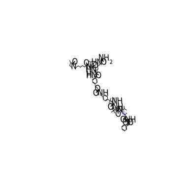 CN[C@H](C(=O)N[C@H](C(=O)N(C)[C@H](/C=C(\C)C(=O)NS(=O)(=O)Cc1ccccc1)C(C)C)C(C)(C)C)C(C)(C)c1ccc(CNC(=O)OCc2ccc(NC(=O)[C@H](CCCNC(N)=O)NC(=O)[C@@H](NC(=O)CCCCCN3CCC(C)C3=O)C(C)C)cc2)cc1